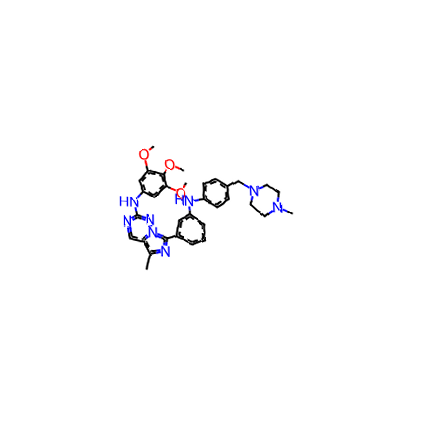 COc1cc(Nc2ncc3c(C)nc(-c4cccc(Nc5ccc(CN6CCN(C)CC6)cc5)c4)n3n2)cc(OC)c1OC